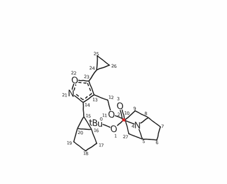 CC(C)(C)OC(=O)N1C2CCC1CC(OCc1c(C3C4CCCC43)noc1C1CC1)C2